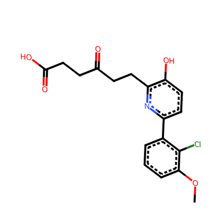 COc1cccc(-c2ccc(O)c(CCC(=O)CCC(=O)O)n2)c1Cl